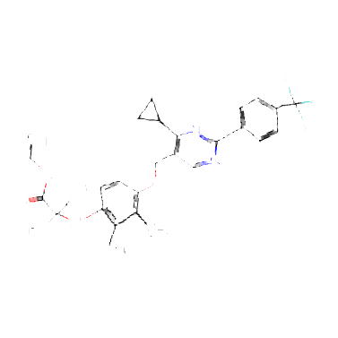 CCOC(=O)C(C)(C)Oc1ccc(OCc2cnc(-c3ccc(C(F)(F)F)cc3)nc2C2CC2)c(C)c1C